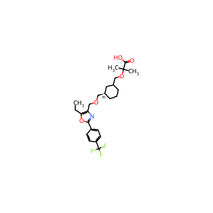 CCc1oc(-c2ccc(C(F)(F)F)cc2)nc1COC[C@@H]1CCCC(COC(C)(C)C(=O)O)C1